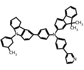 CC1C=CC=C(n2c3c(c4cc(-c5ccc(N(c6ccc(-c7cccnc7)cc6)c6ccc7c(c6)C(C)(C)c6ccccc6-7)cc5)ccc42)CCC=C3)C1